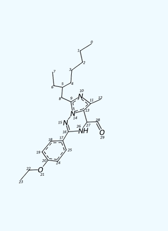 CCCCCC(CC)Cc1nc(C)c2n1N=C(c1ccc(OCC)cc1)NC2C=O